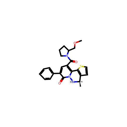 COCC1CCCN1C(=O)c1cc(-c2ccccc2)c(=O)n2c1-c1sccc1[C@@H](C)N2